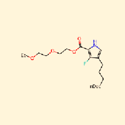 CCCCCCCCCCCCCc1c[nH]c(C(=O)OCCOCCOCC)c1F